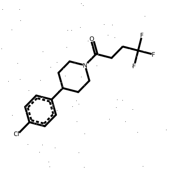 O=C(CCC(F)(F)F)N1CCC(c2ccc(Cl)cc2)CC1